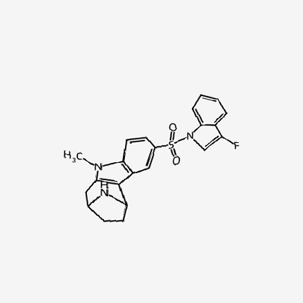 Cn1c2c(c3cc(S(=O)(=O)n4cc(F)c5ccccc54)ccc31)C1CCC(C2)N1